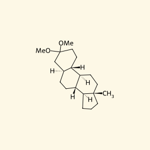 COC1(OC)CC[C@H]2[C@@H](CC[C@@H]3[C@@H]2CC[C@]2(C)CCC[C@@H]32)C1